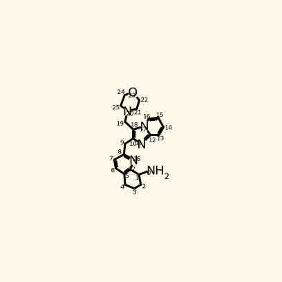 NC1CCCc2ccc(Cc3nc4ccccn4c3CN3CCOCC3)nc21